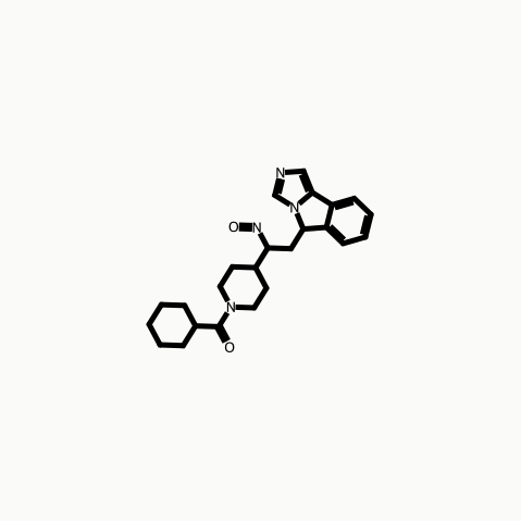 O=NC(CC1c2ccccc2-c2cncn21)C1CCN(C(=O)C2CCCCC2)CC1